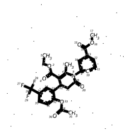 CCOC(=O)C1=C(C)N(c2cccc(C(=O)OC)c2)C(=O)CC1c1cc(C(F)(F)F)ccc1OC(C)=O